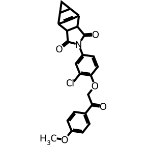 COc1ccc(C(=O)COc2ccc(N3C(=O)C4C5C=CC(C6CC56)C4C3=O)cc2Cl)cc1